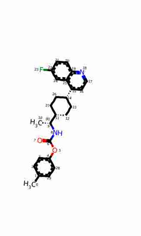 Cc1ccc(OC(=O)N[C@H](C)[C@H]2CC[C@@H](c3ccnc4ccc(F)cc43)CC2)cc1